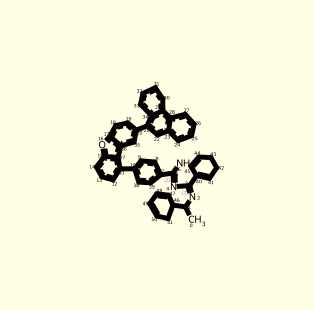 CC(/N=C(\N=C(/N)c1ccc(-c2cccc3oc4ccc(-c5cc6ccccc6c6ccccc56)cc4c23)cc1)C1=CCCC=C1)C1C=CC=CC1